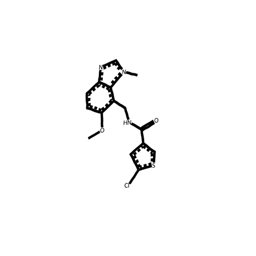 COc1ccc2ncn(C)c2c1CNC(=O)c1csc(Cl)c1